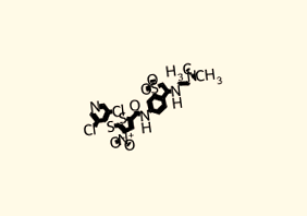 CN(C)CCNC1CS(=O)(=O)c2cc(NC(=O)c3cc([N+](=O)[O-])c(Sc4c(Cl)cncc4Cl)s3)ccc21